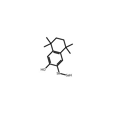 CC1(C)CCC(C)(C)c2cc([Se][SeH])c(O)cc21